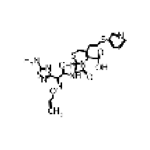 C=CCON=C(C(=O)NC1C(=O)N2C(C(=O)O)=C(C=CSc3cccnc3)CS[C@@H]12)c1nsc(N)n1